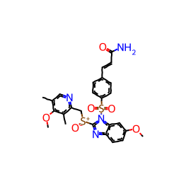 COc1ccc2nc([S+]([O-])Cc3ncc(C)c(OC)c3C)n(S(=O)(=O)c3ccc(C=CC(N)=O)cc3)c2c1